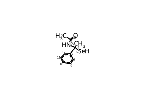 CC(=O)NC(C)([SeH])c1ccccc1